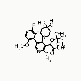 COc1ccc(F)c(F)c1-c1cnc(C)c([C@H](OC(C)(C)C)C(=O)O)c1N1CCC(C)(C)CC1